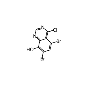 Oc1c(Br)cc(Br)c2c(Cl)ncnc12